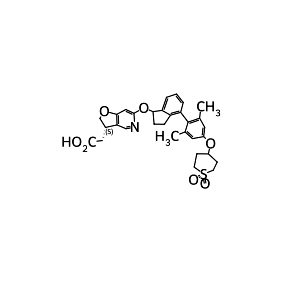 Cc1cc(OC2CCS(=O)(=O)CC2)cc(C)c1-c1cccc2c1CCC2Oc1cc2c(cn1)[C@H](CC(=O)O)CO2